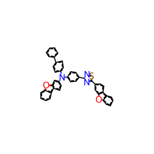 c1ccc(-c2ccc(N(c3ccc(-c4nsc(-c5ccc6c(c5)oc5ccccc56)n4)cc3)c3ccc4c(c3)oc3ccccc34)cc2)cc1